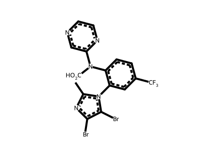 Cc1nc(Br)c(Br)n1-c1cc(C(F)(F)F)ccc1N(C(=O)O)c1cnccn1